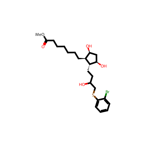 COC(=O)CCCCCC[C@@H]1[C@@H](CCC(O)CSc2ccccc2Br)[C@H](O)C[C@@H]1O